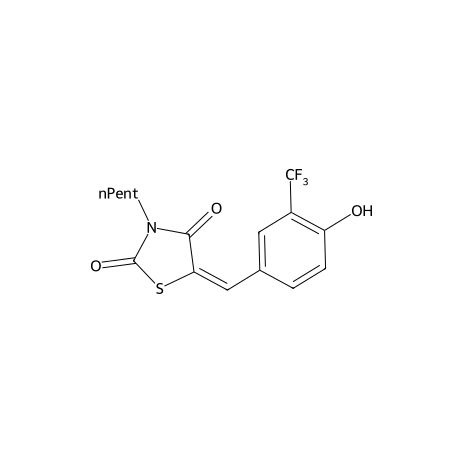 CCCCCN1C(=O)SC(=Cc2ccc(O)c(C(F)(F)F)c2)C1=O